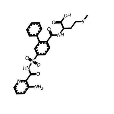 CSCCC(NC(=O)c1ccc(S(=O)(=O)NC(=O)c2ncccc2N)cc1-c1ccccc1)C(=O)O